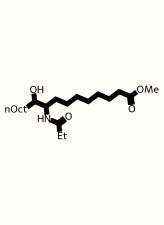 CCCCCCCCC(O)C(CCCCCCCC(=O)OC)NC(=O)CC